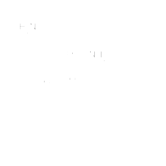 NCCS(=O)(=O)OC(N)CC(c1ccccc1)c1ccccc1